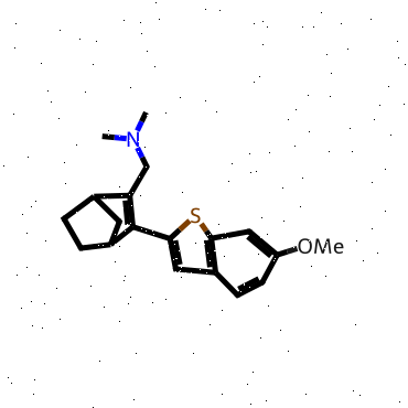 COc1ccc2cc(C3=C(CN(C)C)C4CCC3C4)sc2c1